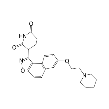 O=C1CCC(c2noc3ccc4cc(OCCN5CCCCC5)ccc4c23)C(=O)N1